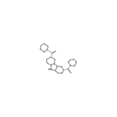 C=C(c1ccccc1)c1ccc2[nH]c3ccc(C(=C)c4ccccc4)cc3c2c1